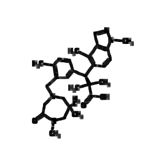 Cc1ccc([C@@H](c2ccc3c(cnn3C)c2C)C(C)(C)C(=O)O)cc1CN1CC(=O)N(C)CC(C)(C)C1